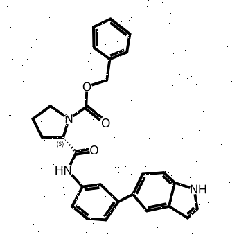 O=C(Nc1cccc(-c2ccc3[nH]ccc3c2)c1)[C@@H]1CCCN1C(=O)OCc1ccccc1